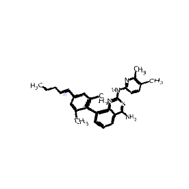 CCC/C=C/c1cc(C)c(-c2cccc3c(N)nc(Nc4ccc(C)c(C)n4)nc23)c(C)c1